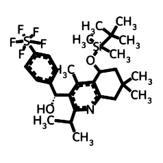 Cc1c2c(nc(C(C)C)c1[C@H](O)c1ccc(S(F)(F)(F)(F)F)cc1)CC(C)(C)CC2O[Si](C)(C)C(C)(C)C